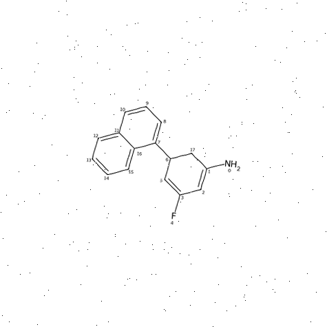 NC1=CC(F)=CC(c2cccc3ccccc23)C1